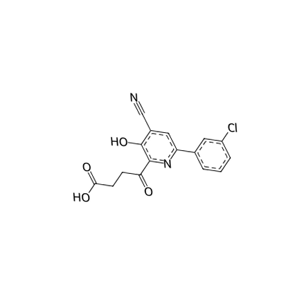 N#Cc1cc(-c2cccc(Cl)c2)nc(C(=O)CCC(=O)O)c1O